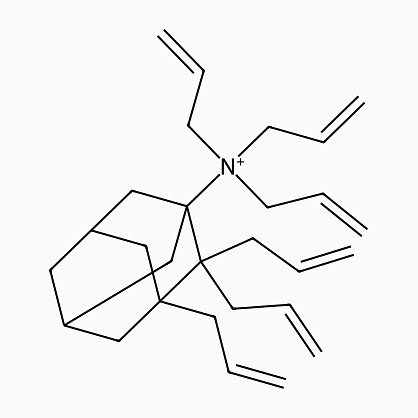 C=CCC12CC3CC(C1)CC([N+](CC=C)(CC=C)CC=C)(C3)C2(CC=C)CC=C